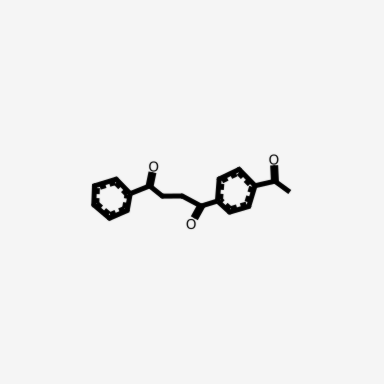 CC(=O)c1ccc(C(=O)CCC(=O)c2ccccc2)cc1